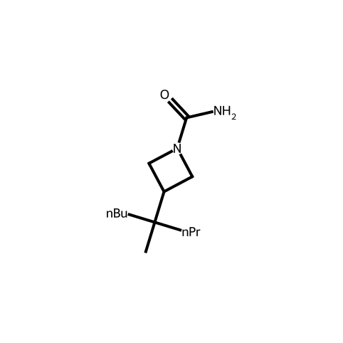 CCCCC(C)(CCC)C1CN(C(N)=O)C1